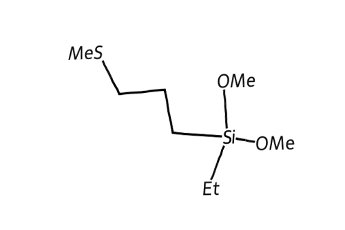 CC[Si](CCCSC)(OC)OC